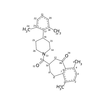 Cc1ccc(C)c2c1CCC(C(=O)N1CCC(c3c(C)cccc3C)CC1)CC2=O